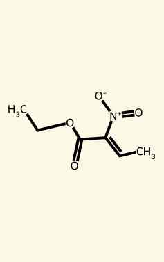 C/C=C(/C(=O)OCC)[N+](=O)[O-]